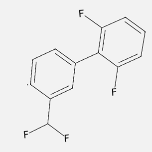 Fc1cccc(F)c1-c1cc[c]c(C(F)F)c1